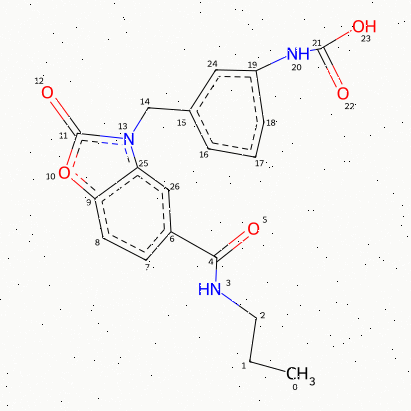 CCCNC(=O)c1ccc2oc(=O)n(Cc3cccc(NC(=O)O)c3)c2c1